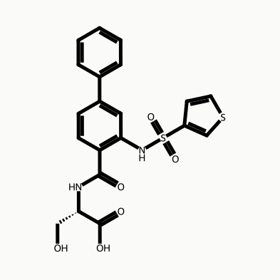 O=C(N[C@@H](CO)C(=O)O)c1ccc(-c2ccccc2)cc1NS(=O)(=O)c1ccsc1